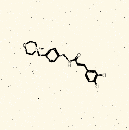 C[N+]1(Cc2ccc(CNC(=O)/C=C/c3ccc(Cl)c(Cl)c3)cc2)CCOCC1